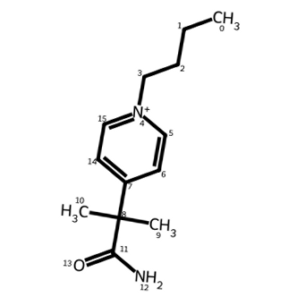 CCCC[n+]1ccc(C(C)(C)C(N)=O)cc1